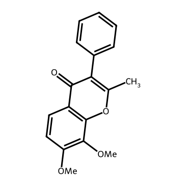 COc1ccc2c(=O)c(-c3ccccc3)c(C)oc2c1OC